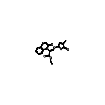 CCOC(=O)/C(=C/OC1C=C(C)C(=O)O1)N1C(=O)CSc2ccccc21